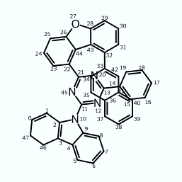 C1=Cc2c(c3ccccc3n2-c2nc(-c3ccccc3)nc(-c3cccc4oc5cccc(-c6ccc7ccccc7c6)c5c34)n2)CC1